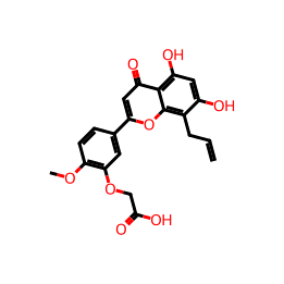 C=CCc1c(O)cc(O)c2c(=O)cc(-c3ccc(OC)c(OCC(=O)O)c3)oc12